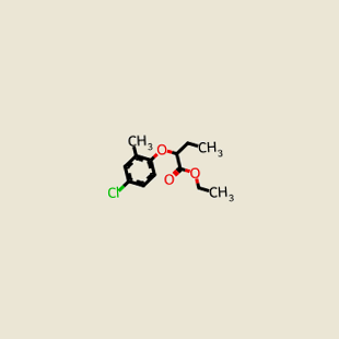 CCOC(=O)C(CC)Oc1ccc(Cl)cc1C